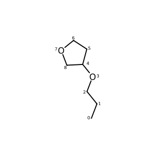 CCCOC1CCOC1